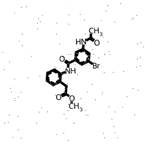 COC(=O)Cc1ccccc1NC(=O)c1cc(Br)cc(NC(C)=O)c1